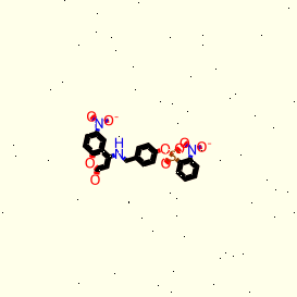 O=c1cc(NCc2ccc(OS(=O)(=O)c3ccccc3[N+](=O)[O-])cc2)c2cc([N+](=O)[O-])ccc2o1